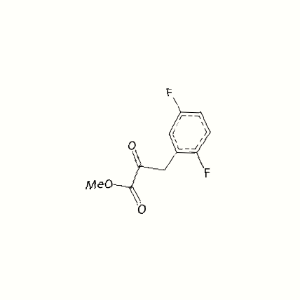 COC(=O)C(=O)Cc1cc(F)ccc1F